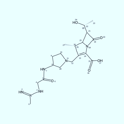 CC(=N)NCC(=O)NC1CCN(CC2=C(C(=O)O)N3C(=O)C([C@@H](C)O)C3[C@H]2C)C1